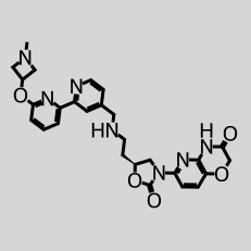 CN1CC(Oc2cccc(-c3cc(CNCC[C@H]4CN(c5ccc6c(n5)NC(=O)CO6)C(=O)O4)ccn3)n2)C1